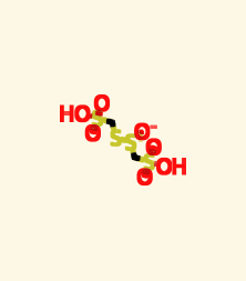 O=S(=O)(O)CS[S+]([O-])CS(=O)(=O)O